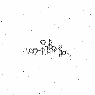 CCNC(=O)c1cnc2c(c1)NC[C@H]([C@H](NCCc1ccc(C)nc1)c1ccccc1)N2